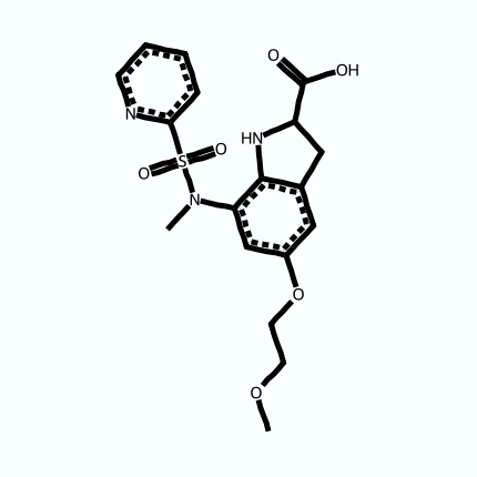 COCCOc1cc2c(c(N(C)S(=O)(=O)c3ccccn3)c1)NC(C(=O)O)C2